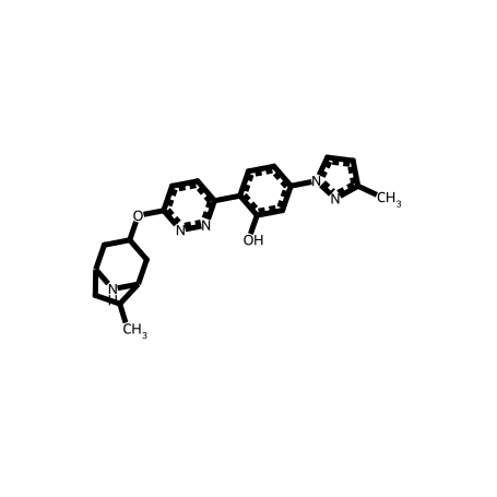 Cc1ccn(-c2ccc(-c3ccc(OC4CC5CC(C)C(C4)N5)nn3)c(O)c2)n1